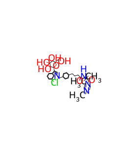 CCN1CCN(C(=O)C(C)(C)NC(=O)CCCc2ccc(Cn3cc([C@@H]4O[C@H](CO)[C@@H](O)[C@H](O)[C@H]4O)c4cccc(Cl)c43)cc2)CC1